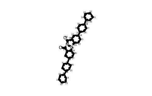 O=c1c2cc(-c3ccc(-c4ccccc4)cc3)ccc2n2c3ccc(-c4ccc(-c5ccccc5)cc4)cc3c(=O)n12